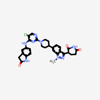 Cn1nc(C2CCC(=O)NC2=O)c2ccc(C3CCN(c4ncc(Cl)c(Nc5ccc6c(c5)CC(=O)N6)n4)CC3)cc21